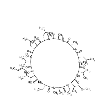 C/C=C/C[C@@H](C)[C@@H](O)[C@H]1C(=O)N[C@@H](CC)C(=O)N(C)[C@H](C)C(=O)N(CC)[C@@H]([C@H](C)COC)C(=O)N[C@@H](C(C)C)C(=O)N(C)[C@@H](CC(C)C)C(=O)N[C@@H](C)C(=O)N[C@H](C)C(=O)N(C)[C@@H](CC(C)C)C(=O)N(C)[C@@H](CC(C)C)C(=O)N(C)[C@@H](C(C)C)C(=O)N1C